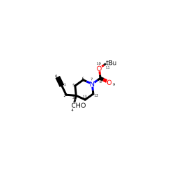 C#CCC1(C=O)CCN(C(=O)OC(C)(C)C)CC1